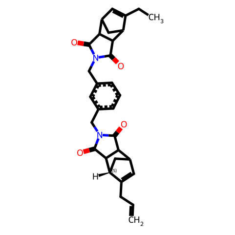 C=CCC1=CC2C[C@H]1C1C(=O)N(Cc3cccc(CN4C(=O)C5C6C=C(CC)C(C6)C5C4=O)c3)C(=O)C21